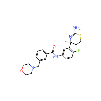 CC1(c2cc(NC(=O)c3cccc(CN4CCOCC4)c3)ccc2F)CCSC(N)=N1